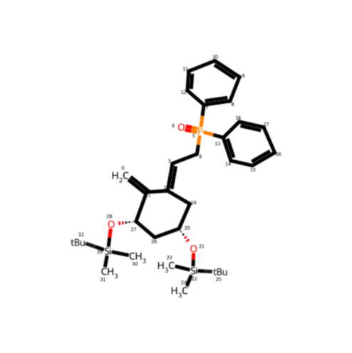 C=C1C(=CCP(=O)(c2ccccc2)c2ccccc2)C[C@H](O[Si](C)(C)C(C)(C)C)C[C@@H]1O[Si](C)(C)C(C)(C)C